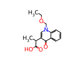 CCOCn1cc(C(C)C(=O)O)c(=O)c2ccccc21